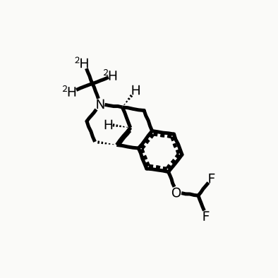 [2H]C([2H])([2H])N1CC[C@@]23CCCC[C@@H]2[C@@H]1Cc1ccc(OC(F)F)cc13